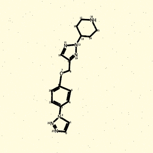 c1cn(-c2ccc(OCc3cnn(C4CCNCC4)n3)cc2)nn1